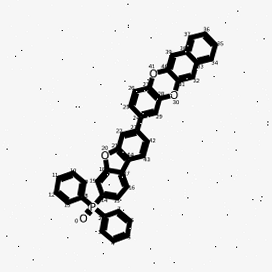 O=P(c1ccccc1)(c1ccccc1)c1ccc2c(c1)oc1cc(-c3ccc4c(c3)Oc3cc5ccccc5cc3O4)ccc12